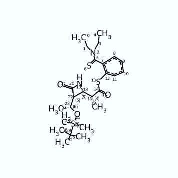 CCN(CC)C(=S)c1ccccc1SC(=O)[C@H](C)[C@H]1NC(=O)[C@@H]1[C@@H](C)O[Si](C)(C)C(C)(C)C